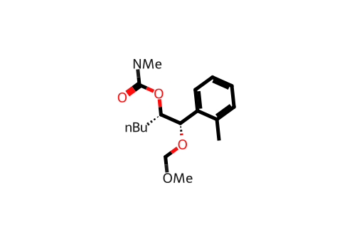 CCCC[C@H](OC(=O)NC)[C@@H](OCOC)c1ccccc1C